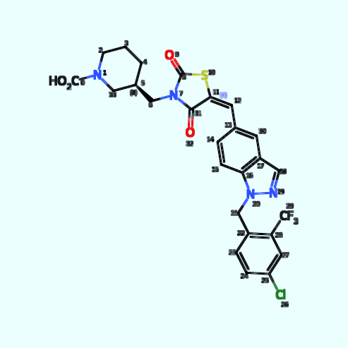 O=C(O)N1CCC[C@@H](CN2C(=O)S/C(=C/c3ccc4c(cnn4Cc4ccc(Cl)cc4C(F)(F)F)c3)C2=O)C1